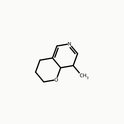 CC1C=NC=C2CCCOC21